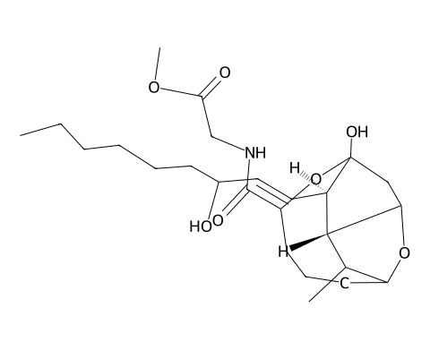 CCCCCCC(O)/C=C/[C@@H]1[C@@H]2C3CC1(O)OC(C(=O)NCC(=O)OC)CCCC(O3)C2C